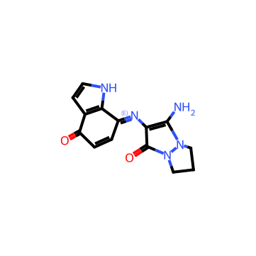 Nc1c(/N=C2\C=CC(=O)c3cc[nH]c32)c(=O)n2n1CCC2